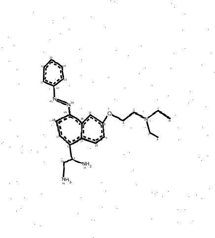 CCN(CC)CCOc1ccc2c(C(N)CN)ccc(N=Nc3ccccc3)c2c1